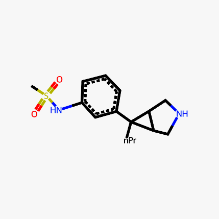 CCCC1(c2cccc(NS(C)(=O)=O)c2)C2CNCC21